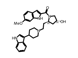 COc1ccc2cc(C(=O)N3C[C@H](O)C[C@H]3CCN3CCC(c4c[nH]c5ccccc45)CC3)[nH]c2c1